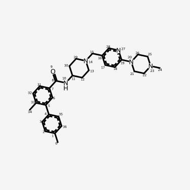 Cc1ccc(-c2cc(C(=O)NC3CCN(Cc4ccc(N5CCN(C)CC5)nc4)CC3)ccc2C)cc1